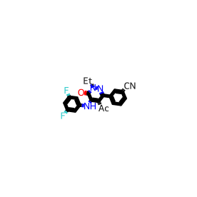 CCn1nc(-c2cccc(C#N)c2)c(C(C)=O)c(Nc2cc(F)cc(F)c2)c1=O